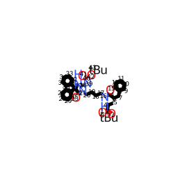 CC(C)(C)OC(=O)CC[C@@H](Cc1ccccc1)C(=O)NCCCCN1C(=O)C(c2ccccc2)(c2ccccc2)N/C1=N\C(=O)OC(C)(C)C